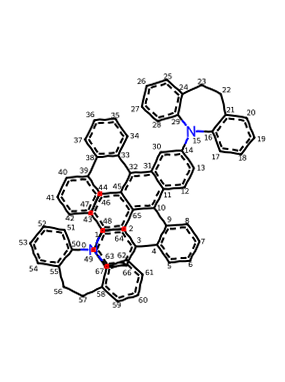 c1ccc(-c2ccccc2-c2c3ccc(N4c5ccccc5CCc5ccccc54)cc3c(-c3ccccc3-c3ccccc3)c3ccc(N4c5ccccc5CCc5ccccc54)cc23)cc1